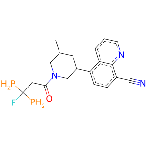 CC1CC(c2ccc(C#N)c3ncccc23)CN(C(=O)CC(F)(P)P)C1